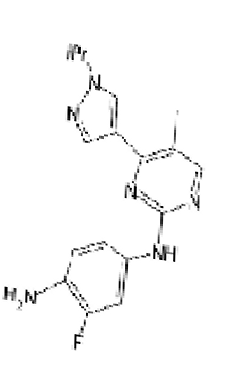 Cc1cnc(Nc2ccc(N)c(F)c2)nc1-c1cnn(C(C)C)c1